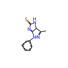 CC1=NN(c2ccccc2)C2=NC(=S)NC12